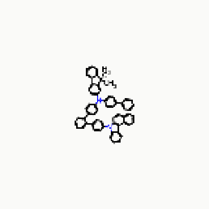 CC1(C)c2ccccc2-c2ccc(N(c3ccc(-c4ccccc4)cc3)c3ccc(-c4ccccc4-c4ccc(-n5c6ccccc6c6c7ccccc7ccc65)cc4)cc3)cc21